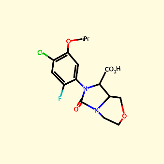 CC(C)Oc1cc(N2C(=O)N3CCOCC3C2C(=O)O)c(F)cc1Cl